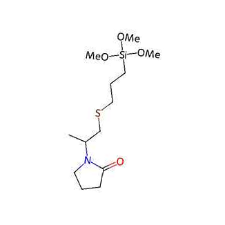 CO[Si](CCCSCC(C)N1CCCC1=O)(OC)OC